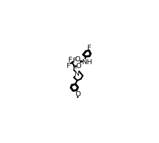 COc1cccc(C2CCCN(C[C@H](OC(=O)Nc3ccc(F)cc3)C(F)(F)F)C2)c1